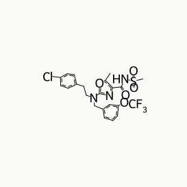 Cc1oc(N(CCc2ccc(Cl)cc2)Cc2cccc(OC(F)(F)F)c2)nc1C(=O)NS(C)(=O)=O